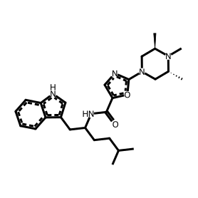 CC(C)CCC(Cc1c[nH]c2ccccc12)NC(=O)c1cnc(N2C[C@@H](C)N(C)[C@H](C)C2)o1